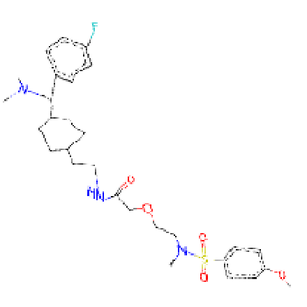 COc1ccc(S(=O)(=O)N(C)CCOCC(=O)NCCC2CCC(C(c3ccc(F)cc3)N(C)C)CC2)cc1